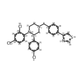 Clc1ccc([C@@H]2CN(Cc3ccc(-c4csnn4)cc3)CCN2c2ccc(Cl)cc2Cl)cc1